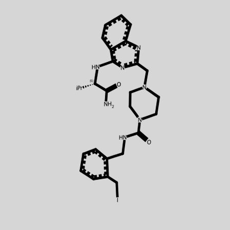 CC(C)[C@H](Nc1nc(CN2CCN(C(=O)NCc3ccccc3CI)CC2)nc2ccccc12)C(N)=O